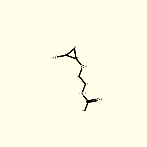 CC(=O)NCCOC1CC1F